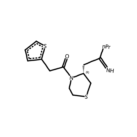 CCCC(=N)C[C@@H]1CSCCN1C(=O)Cc1cccs1